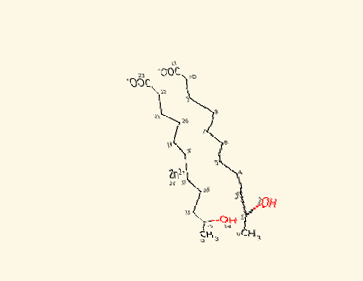 CC(O)CCCCCCCCC(=O)[O-].CC(O)CCCCCCCCC(=O)[O-].[Zn+2]